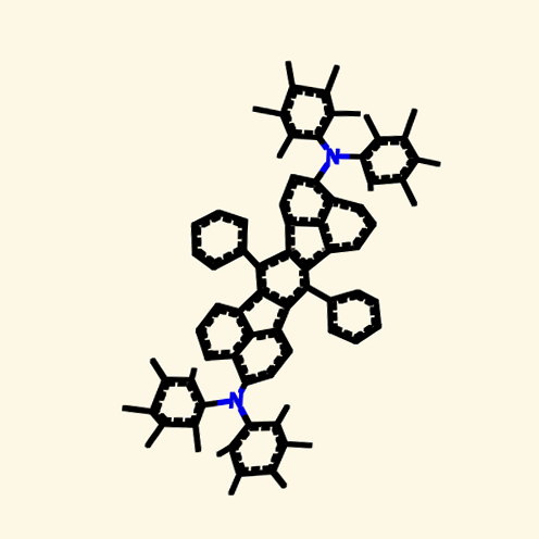 Cc1c(C)c(C)c(N(c2c(C)c(C)c(C)c(C)c2C)c2ccc3c4c(-c5ccccc5)c5c6cccc7c(N(c8c(C)c(C)c(C)c(C)c8C)c8c(C)c(C)c(C)c(C)c8C)ccc(c5c(-c5ccccc5)c4c4cccc2c43)c76)c(C)c1C